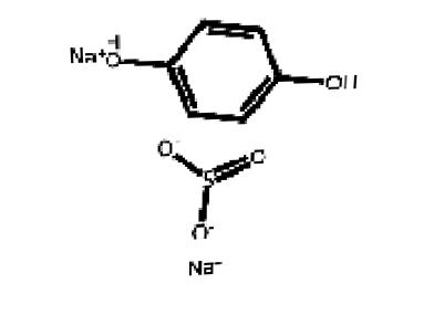 O=S([O-])[O-].Oc1ccc(O)cc1.[Na+].[Na+]